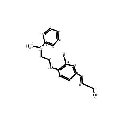 CN(CCOc1ccc(C=CCO)cc1F)c1ccccn1